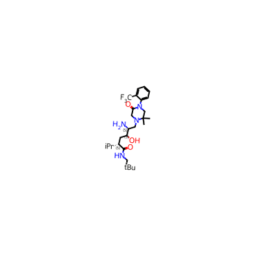 CC(C)[C@H](C[C@H](O)[C@@H](N)CN1CC(=O)N(c2ccccc2C(F)(F)F)CC1(C)C)C(=O)NCC(C)(C)C